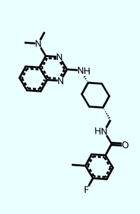 Cc1cc(C(=O)NC[C@H]2CC[C@@H](Nc3nc(N(C)C)c4ccccc4n3)CC2)ccc1F